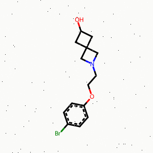 OC1CC2(C1)CN(CCOc1ccc(Br)cc1)C2